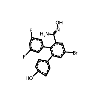 N/C(=N\O)c1cc(Br)cc(-c2ccc(O)cc2)c1-c1cc(F)cc(F)c1